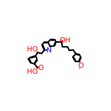 COc1ccc(CCCCC(O)c2ccc3ccc(CC(O)c4cccc(C(=O)O)c4)nc3c2)cc1